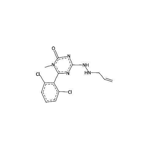 C=CCNNc1nc(-c2c(Cl)cccc2Cl)n(C)c(=O)n1